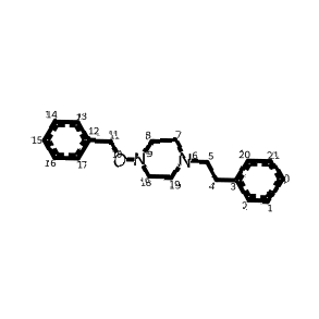 c1ccc(CCN2CCN(OCc3ccccc3)CC2)cc1